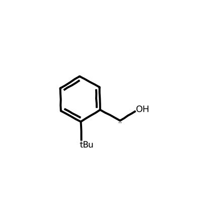 CC(C)(C)c1ccccc1[C]O